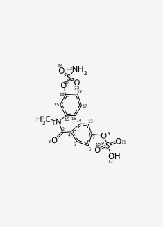 CN(C(=O)c1ccc(OS(=O)(=O)O)cc1)c1cccc(OS(N)(=O)=O)c1